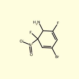 NC1C(F)=CC(Br)=CC1(F)[N+](=O)[O-]